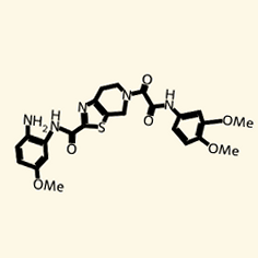 COc1ccc(N)c(NC(=O)c2nc3c(s2)CN(C(=O)C(=O)Nc2ccc(OC)c(OC)c2)CC3)c1